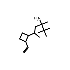 C=CC1CCC1C(C)CC(C)(N)C(C)(C)C